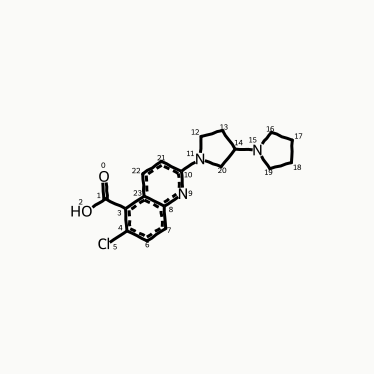 O=C(O)c1c(Cl)ccc2nc(N3CCC(N4CCCC4)C3)ccc12